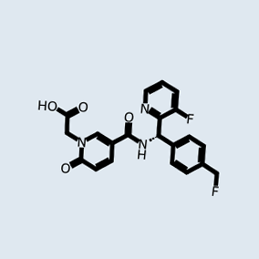 O=C(O)Cn1cc(C(=O)N[C@@H](c2ccc(CF)cc2)c2ncccc2F)ccc1=O